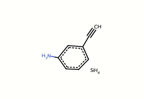 C#Cc1cccc(N)c1.[SiH4]